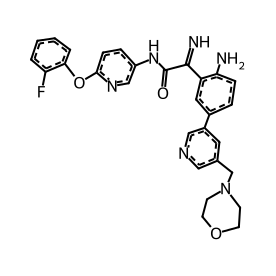 N=C(C(=O)Nc1ccc(Oc2ccccc2F)nc1)c1cc(-c2cncc(CN3CCOCC3)c2)ccc1N